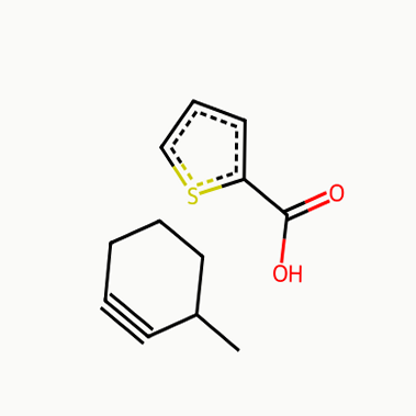 CC1C#CCCC1.O=C(O)c1cccs1